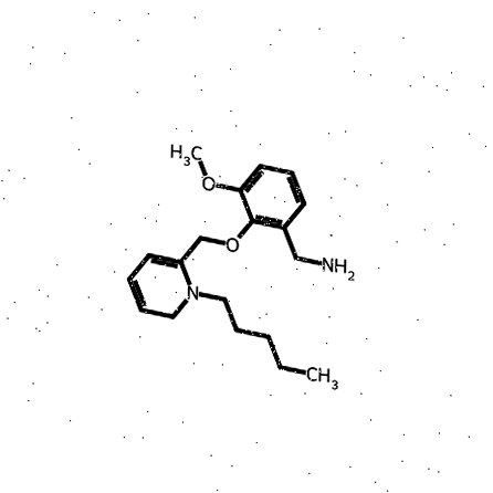 CCCCCN1CC=CC=C1COc1c(CN)cccc1OC